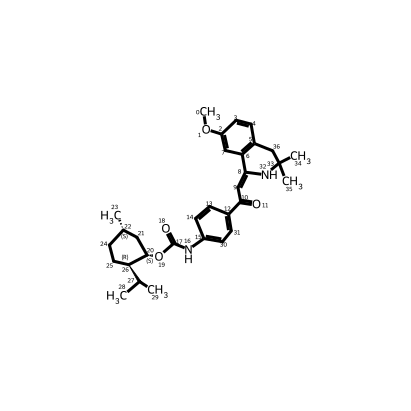 COc1ccc2c(c1)C(=CC(=O)c1ccc(NC(=O)O[C@H]3C[C@@H](C)CC[C@@H]3C(C)C)cc1)NC(C)(C)C2